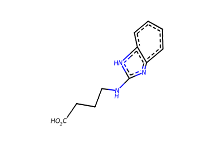 O=C(O)CCCNc1nc2ccccc2[nH]1